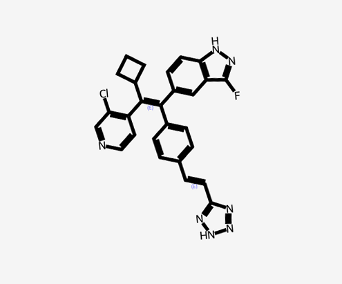 Fc1n[nH]c2ccc(/C(=C(/c3ccncc3Cl)C3CCC3)c3ccc(/C=C/c4nn[nH]n4)cc3)cc12